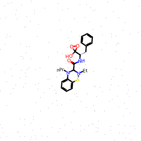 CCCN1c2ccccc2SN(CC)C1C(=O)N[C@@H](Cc1ccccc1)C1(O)OO1